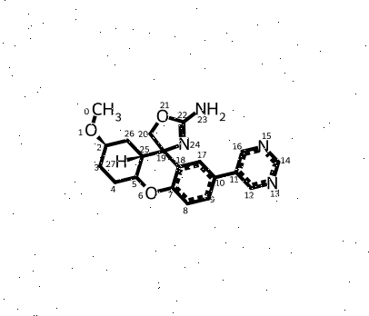 CO[C@@H]1CCC2Oc3ccc(-c4cncnc4)cc3C3(COC(N)=N3)[C@H]2C1